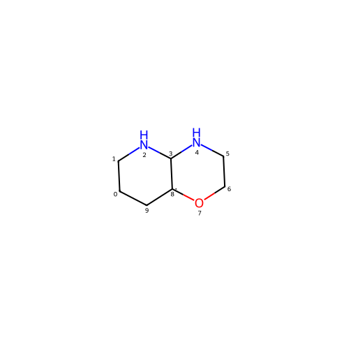 C1CNC2NCCO[C]2C1